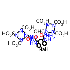 NN(C(=O)c1[nH]c2ccccc2c1Cc1c(C(=O)NNC(=O)CN2CCN(CC(=O)O)CCN(CC(=O)O)CCN(CC(=O)O)CC2)[nH]c2ccccc12)C(C=O)N1CCN(CC(=O)O)CCN(CC(=O)O)CCN(CC(=O)O)CC1.[NaH]